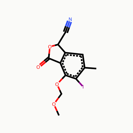 COCOc1c(I)c(C)cc2c1C(=O)OC2C#N